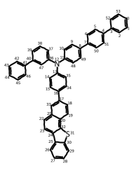 c1ccc(-c2ccc(-c3ccc(N(c4ccc(-c5ccc6c(ccc7c8ccccc8sc67)c5)cc4)c4cccc(-c5ccccc5)c4)cc3)cc2)cc1